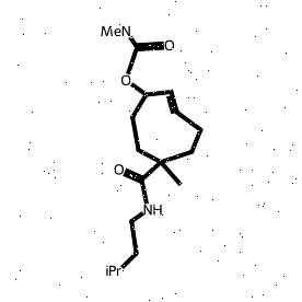 CNC(=O)OC1/C=C/CCC(C)(C(=O)NCCC(C)C)CC1